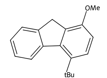 COc1ccc(C(C)(C)C)c2c1Cc1ccccc1-2